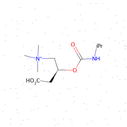 CC(C)NC(=O)O[C@@H](CC(=O)O)C[N+](C)(C)C